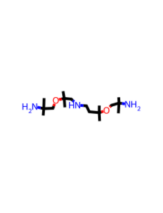 CC(C)(N)COC(C)(C)CCNCC(C)(C)OCC(C)(C)N